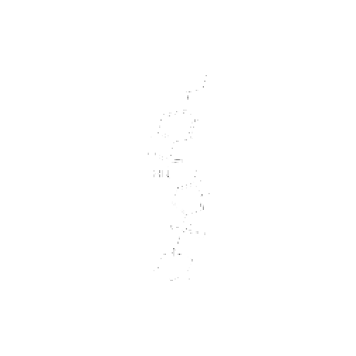 CCCc1ccc(S(=O)(=O)Nc2cc(S(=O)(=O)N3CCCCC3)ccc2C)cc1